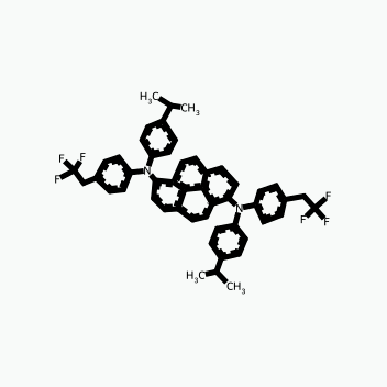 CC(C)c1ccc(N(c2ccc(CC(F)(F)F)cc2)c2ccc3ccc4c(N(c5ccc(CC(F)(F)F)cc5)c5ccc(C(C)C)cc5)ccc5ccc2c3c54)cc1